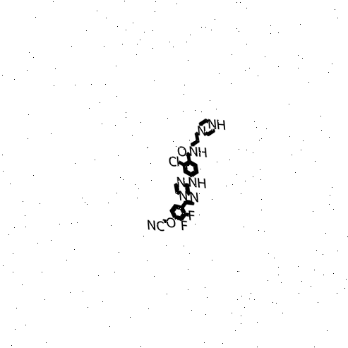 N#CCOc1ccc(-c2cnc3c(Nc4ccc(C(=O)NCCCN5CCNCC5)c(Cl)c4)nccn23)c(F)c1F